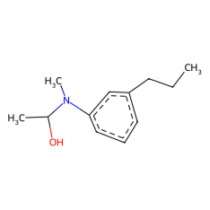 CCCc1cccc(N(C)C(C)O)c1